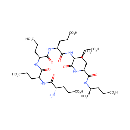 N[C@@H](CCC(=O)O)C(=O)N[C@@H](CCC(=O)O)C(=O)N[C@@H](CCC(=O)O)C(=O)N[C@@H](CCC(=O)O)C(=O)N[C@@H](CCC(=O)O)C(=O)N[C@@H](CCC(=O)O)C(=O)N[C@@H](CCC(=O)O)C(=O)O